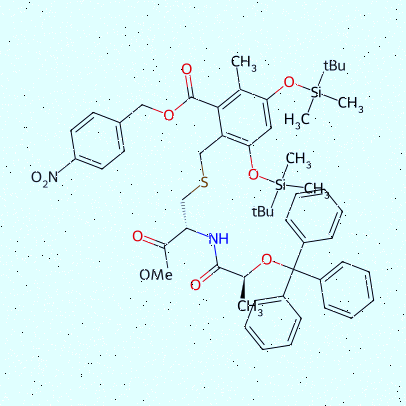 COC(=O)[C@H](CSCc1c(O[Si](C)(C)C(C)(C)C)cc(O[Si](C)(C)C(C)(C)C)c(C)c1C(=O)OCc1ccc([N+](=O)[O-])cc1)NC(=O)[C@H](C)OC(c1ccccc1)(c1ccccc1)c1ccccc1